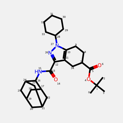 CC(C)(C)OC(=O)C1CCc2c(c(C(=O)NC3C4CC5CC(C4)CC3C5)nn2C2CCCCC2)C1